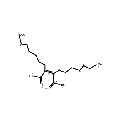 CCCCCCCCCCCCCCCC/C(C(N)=O)=C(\CCCCCCCCCCCCCCCC)C(N)=O